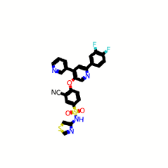 N#Cc1cc(S(=O)(=O)Nc2cscn2)ccc1Oc1cnc(-c2ccc(F)c(F)c2)cc1-c1cccnc1